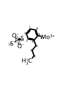 CCCCc1cccc[c]1[Mo+3].[O-]P([O-])(=S)[S-]